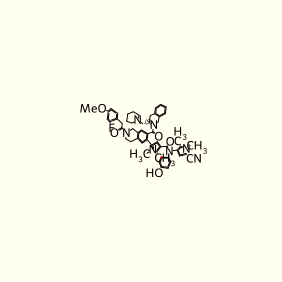 COc1ccc(CC(=O)N2CCc3cc(-c4cc(C(=O)N(c5ccc(O)cc5)c5cc(C#N)n(C)c5C)c(C)n4C)c(C(=O)N4Cc5ccccc5C[C@H]4CN4CCCCC4)cc3C2)c(F)c1